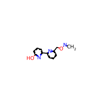 C=NOCc1cccc(-c2cccc(O)n2)n1